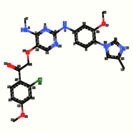 CNc1nc(Nc2ccc(-n3cnc(C)c3)c(OC)c2)ncc1OCC(=O)c1ccc(OC)cc1Cl